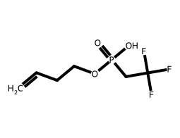 C=CCCOP(=O)(O)CC(F)(F)F